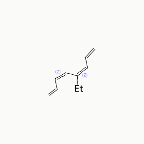 C=C/C=C\C(=C/C=C)CC